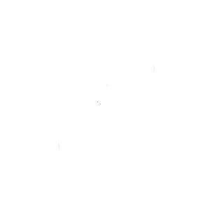 CCC(C)C(C(=O)N1CC(CC)C1C(C)C)C(C)C